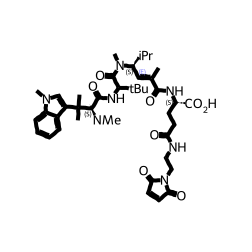 CN[C@H](C(=O)NC(C(=O)N(C)[C@H](/C=C(\C)C(=O)N[C@@H](CCC(=O)NCCN1C(=O)C=CC1=O)C(=O)O)C(C)C)C(C)(C)C)C(C)(C)c1cn(C)c2ccccc12